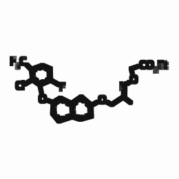 CCOC(=O)CON=C(C)COc1ccc2ccc(Oc3c(F)ccc(C(F)(F)F)c3Cl)cc2c1